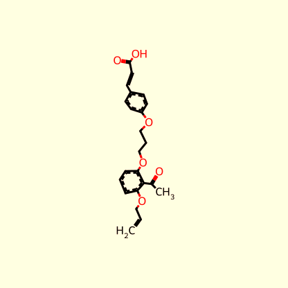 C=CCOc1cccc(OCCCOc2ccc(/C=C/C(=O)O)cc2)c1C(C)=O